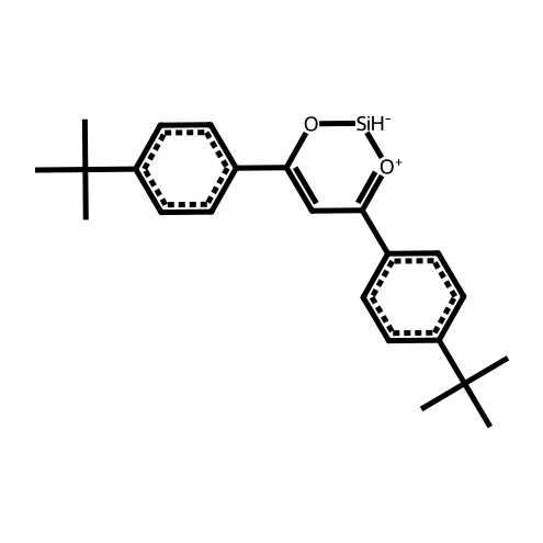 CC(C)(C)c1ccc(C2=CC(c3ccc(C(C)(C)C)cc3)=[O+][SiH-]O2)cc1